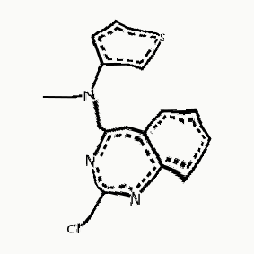 CN(c1ccsc1)c1nc(Cl)nc2ccccc12